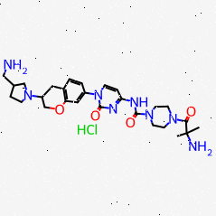 CC(C)(N)C(=O)N1CCN(C(=O)Nc2ccn(-c3ccc4c(c3)OCC(N3CCC(CN)C3)C4)c(=O)n2)CC1.Cl